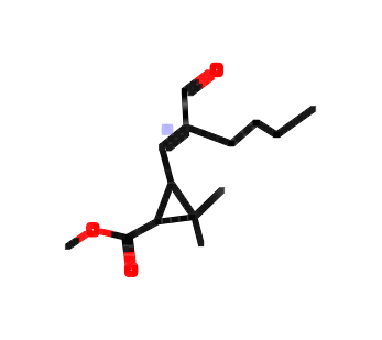 CCCC/C(C=O)=C\C1C(C(=O)OC)C1(C)C